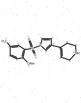 COc1ccc(C)cc1S(=O)(=O)n1ccc(C2=CCNCC2)c1